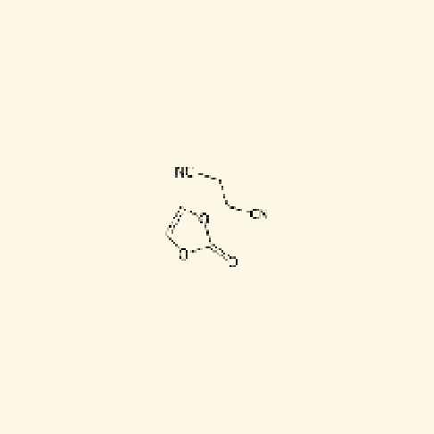 N#CCCC#N.O=c1occo1